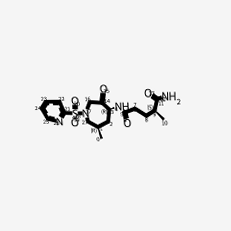 C[C@@H]1C[C@@H](NC(=O)[CH]C[C@H](C)C(N)=O)C(=O)CN(S(=O)(=O)c2ccccn2)C1